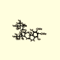 [2H]c1c2c(c([2H])c(OC)c1OC)C1([2H])CC([2H])(OC(=O)[C@@]([2H])(N)C([2H])(C([2H])([2H])[2H])C([2H])([2H])[2H])C(C([2H])([2H])C([2H])(C)C([2H])([2H])[2H])CN1CC2